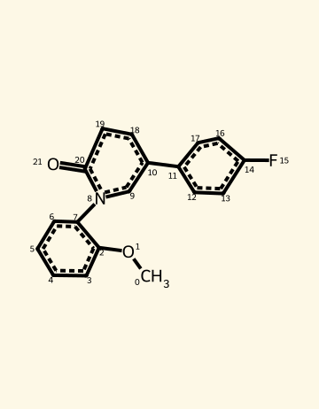 COc1ccccc1-n1cc(-c2ccc(F)cc2)ccc1=O